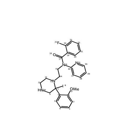 COc1ccccc1C1(I)CNCCN1CCN(C(=O)c1ccccc1F)c1ccccn1